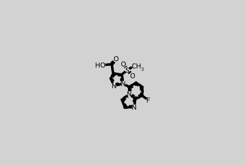 CS(=O)(=O)c1c(C(=O)O)cnn1-c1ccc(F)c2nccn12